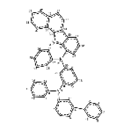 c1ccc(-c2cccc(N(c3ccccc3)c3cccc(N(c4ccccc4)c4cccc5c4sc4c6ccccc6ccc54)c3)c2)cc1